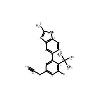 Cc1nc2cc(-c3cc(CC#N)cc(F)c3C(C)(C)O)ccc2[nH]1